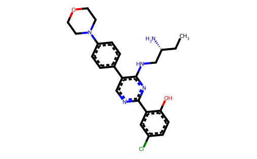 CC[C@@H](N)CNc1nc(-c2cc(Cl)ccc2O)ncc1-c1ccc(N2CCOCC2)cc1